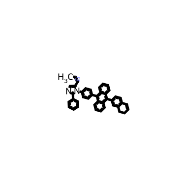 C/C=C\c1cnc(-c2ccccc2)n1-c1ccc(-c2c3ccccc3c(-c3ccc4c(c3)CCC=C4)c3ccccc23)cc1